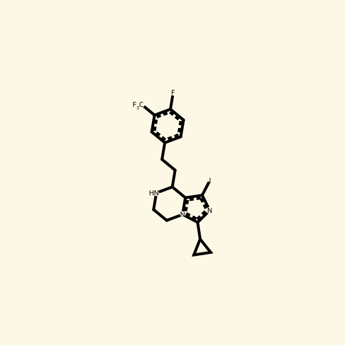 Fc1ccc(CCC2NCCn3c(C4CC4)nc(I)c32)cc1C(F)(F)F